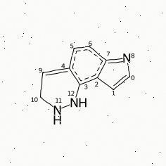 C1=Cc2c3c(ccc2=N1)=CCNN3